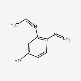 C=Nc1ccc(O)cc1/N=C\C